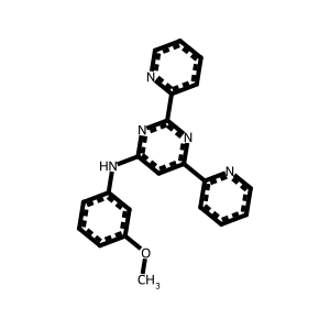 COc1cccc(Nc2cc(-c3ccccn3)nc(-c3ccccn3)n2)c1